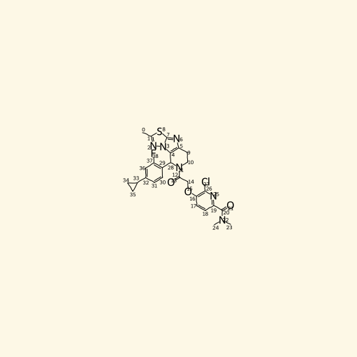 Cc1nn2c3c(nc2s1)CCN(C(=O)COc1ccc(C(=O)N(C)C)nc1Cl)C3c1ccc(C2CC2)cc1F